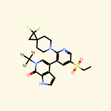 [2H]C([2H])([2H])n1cc(-c2cc(S(=O)(=O)CC)cnc2N2CCC3(CC2)CC3(F)F)c2cc[nH]c2c1=O